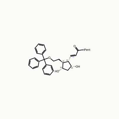 CCCCCC(=O)/C=C/[C@H]1[C@H](CCOC(c2ccccc2)(c2ccccc2)c2ccccc2)[C@@H](O)C[C@H]1O